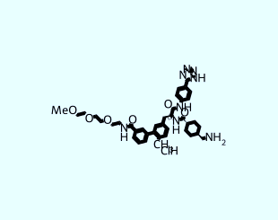 COCCOCCOCCNC(=O)c1cccc(-c2cc(C[C@H](NC(=O)[C@H]3CC[C@H](CN)CC3)C(=O)Nc3ccc(-c4nnn[nH]4)cc3)ccc2C)c1.Cl